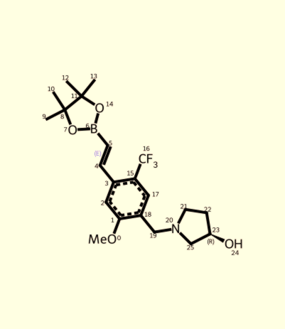 COc1cc(/C=C/B2OC(C)(C)C(C)(C)O2)c(C(F)(F)F)cc1CN1CC[C@@H](O)C1